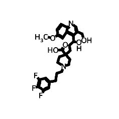 COc1ccc2ncc(CO)c(C(O)CCC3(C(=O)O)CCN(CCCc4cc(F)c(F)c(F)c4)CC3)c2c1